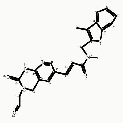 Cc1c(CN(C)C(=O)/C=C/c2cnc3c(c2)CN(CC=O)C(=O)N3)sc2ccccc12